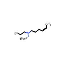 C/C=C\CCCNCC(CC)[C@H](C)CCC